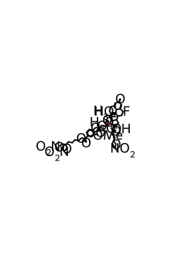 COc1cc(C(=O)OCCCCC(CO[N+](=O)[O-])O[N+](=O)[O-])ccc1OC(=O)OCC(=O)[C@@]1(OC(=O)CCCO[N+](=O)[O-])[C@H](O)CC2C3C[C@H](F)C4=CC(=O)C=C[C@]4(C)[C@@]3(F)[C@@H](O)C[C@@]21C